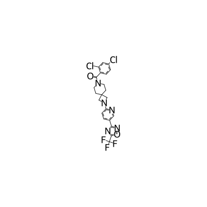 O=C(c1ccc(Cl)cc1Cl)N1CCC2(CC1)CN(c1ccc(-c3noc(C(F)(F)F)n3)cn1)C2